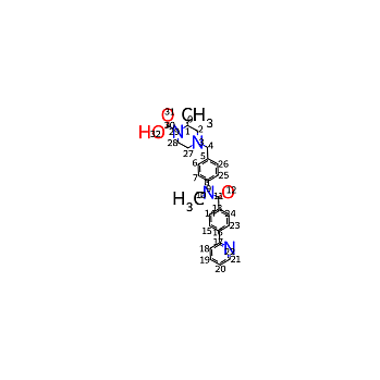 C[C@H]1CN(Cc2ccc(N(C)C(=O)c3ccc(-c4ccccn4)cc3)cc2)CCN1C(=O)O